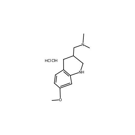 COc1ccc2c(c1)NCC(CN(C)C)C2.Cl.Cl